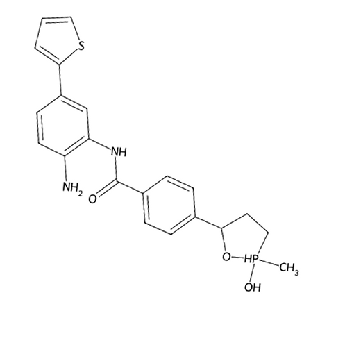 C[PH]1(O)CCC(c2ccc(C(=O)Nc3cc(-c4cccs4)ccc3N)cc2)O1